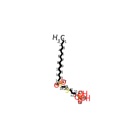 CCCCCCCCCCCCCCCS(=O)(=O)CCSCCCOP(=O)(O)O